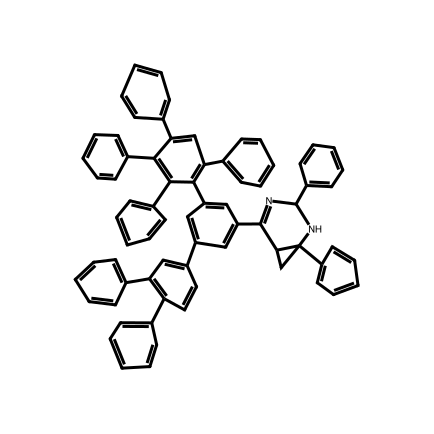 c1ccc(-c2ccc(-c3cc(C4=NC(c5ccccc5)NC5(c6ccccc6)CC45)cc(-c4c(-c5ccccc5)cc(-c5ccccc5)c(-c5ccccc5)c4-c4ccccc4)c3)cc2-c2ccccc2)cc1